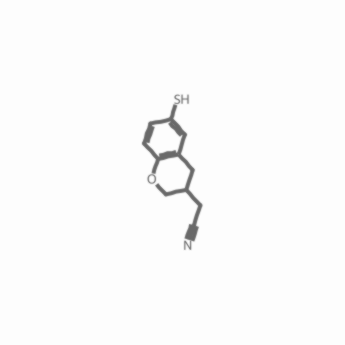 N#CCC1COc2ccc(S)cc2C1